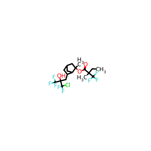 CCC(C)(C(=O)OC1(C)CC2CC(CC(O)(C(F)(F)F)C(F)(F)Cl)C1C2)C(F)(F)F